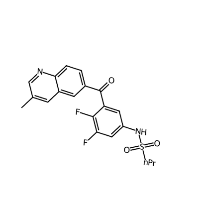 CCCS(=O)(=O)Nc1cc(F)c(F)c(C(=O)c2ccc3ncc(C)cc3c2)c1